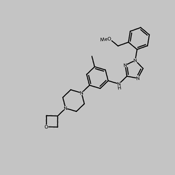 COCc1ccccc1-n1cnc(Nc2cc(C)cc(N3CCN(C4COC4)CC3)c2)n1